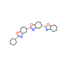 c1ccc(-c2nc3cc(-c4nc5cc(-c6nc7ccccc7o6)ccc5o4)ccc3o2)cc1